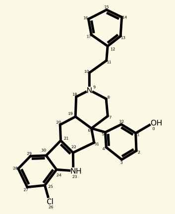 Oc1cccc(C23CCN(CCc4ccccc4)CC2Cc2c([nH]c4c(Cl)cccc24)C3)c1